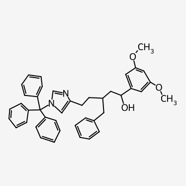 COc1cc(OC)cc(C(O)CC(CCc2cn(C(c3ccccc3)(c3ccccc3)c3ccccc3)cn2)Cc2ccccc2)c1